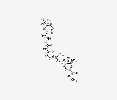 CNC(=O)c1ccc(C2(O)CCC(N3CC[C@@H](NC(=O)CNC(=O)c4cccc(C(F)(F)F)c4)C3)CC2)c(C)c1